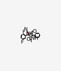 CC(=O)N[C@@]1(SC(N)c2cc(F)ccc2F)c2ccccc2OC[C@@H]1CC#N